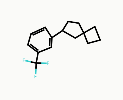 FC(F)(F)c1cccc(C2CCC3(CCC3)C2)c1